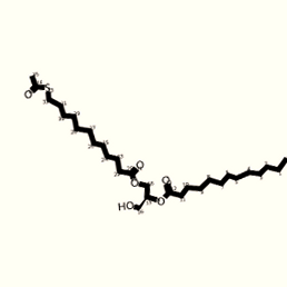 CCCCCCCCCCCCC(=O)O[C@@H](CO)COC(=O)CCCCCCCCCCCSC(C)=O